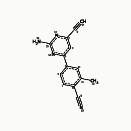 C#Cc1cc(-c2ccc(C#N)c(C)c2)nc(N)n1